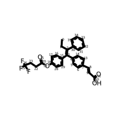 CC/C(=C(/c1ccc(/C=C/C(=O)O)cc1)c1ccc(OC(=O)CCC(F)(F)F)cc1)c1ccccc1